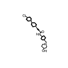 O=C(C#Cc1ccc(-c2ccc(Cl)cc2)cc1)Nc1ccc(CN2CCC(O)CC2)cc1